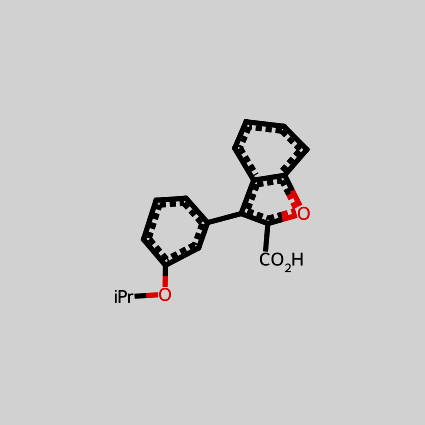 CC(C)Oc1cccc(-c2c(C(=O)O)oc3ccccc23)c1